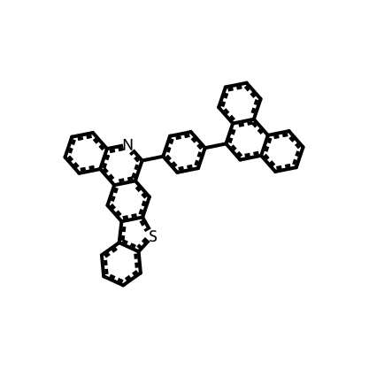 c1ccc2c(c1)cc(-c1ccc(-c3nc4ccccc4c4cc5c(cc34)sc3ccccc35)cc1)c1ccccc12